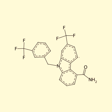 NC(=O)c1cccc2c1c1[c]cc(C(F)(F)F)cc1n2Cc1cccc(C(F)(F)F)c1